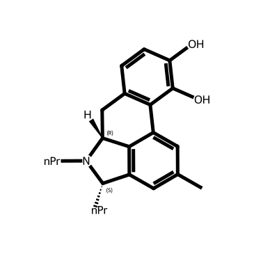 CCC[C@H]1c2cc(C)cc3c2[C@@H](Cc2ccc(O)c(O)c2-3)N1CCC